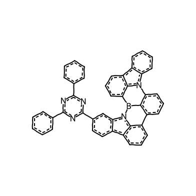 c1ccc(-c2nc(-c3ccccc3)nc(-c3ccc4c5cccc6c5n(c4c3)B3c4c-6cccc4-n4c5ccccc5c5cccc3c54)n2)cc1